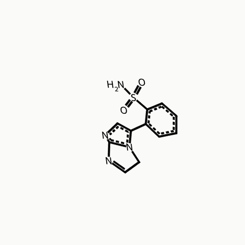 NS(=O)(=O)c1ccccc1-c1cnc2n1CC=N2